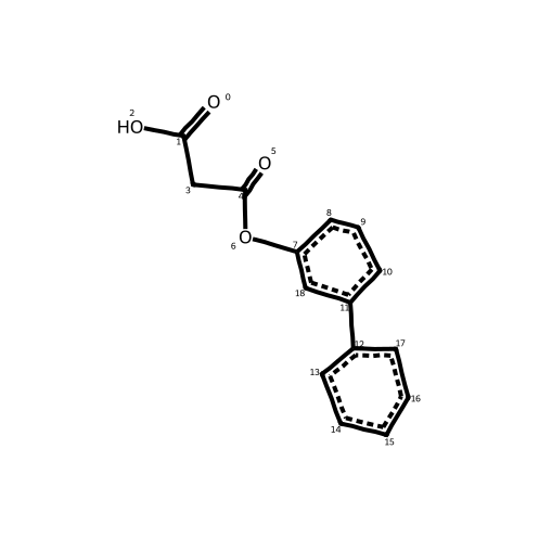 O=C(O)CC(=O)Oc1cccc(-c2ccccc2)c1